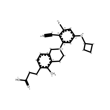 Cc1c(CCC(=O)O)ccc2c1CCN(c1cc(OC3CCC3)cc(F)c1C#N)C2